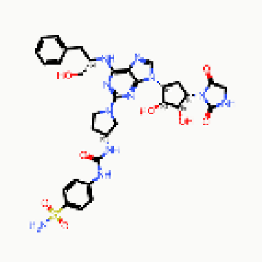 NS(=O)(=O)c1ccc(NC(=O)N[C@@H]2CCN(c3nc(N[C@H](CO)Cc4ccccc4)c4ncn([C@@H]5C[C@H](N6C(=O)CNC6=O)[C@@H](O)[C@H]5O)c4n3)C2)cc1